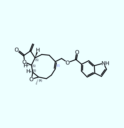 C=C1C(=O)O[C@H]2[C@H]1CC/C(COC(=O)c1ccc3cc[nH]c3c1)=C\CC[C@@]1(C)O[C@@H]21